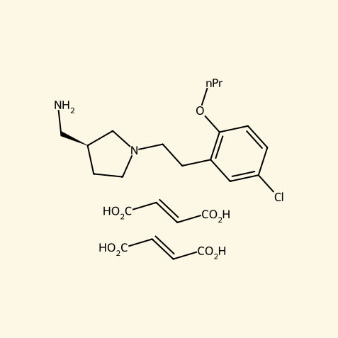 CCCOc1ccc(Cl)cc1CCN1CC[C@@H](CN)C1.O=C(O)/C=C/C(=O)O.O=C(O)/C=C/C(=O)O